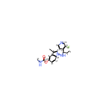 CCC(Nn1cc(C)c2cc(OC(=O)NC)ccc21)c1ccncc1F